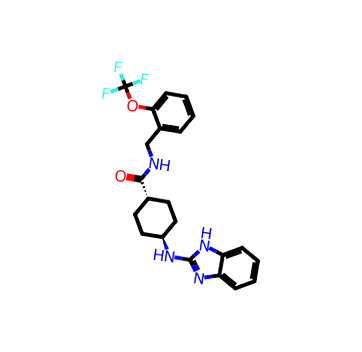 O=C(NCc1ccccc1OC(F)(F)F)[C@H]1CC[C@H](Nc2nc3ccccc3[nH]2)CC1